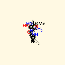 COC(=O)c1c(C)[nH]c2c(O)cc3c(c12)C(N)CN3C(=O)c1cc2cc([N+](=O)[O-])ccc2[nH]1